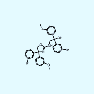 COc1cccc(C(O)(CNC2=NC(c3cccc(Br)c3)(c3cccc(OC)c3)CO2)c2cccc(Br)c2)c1